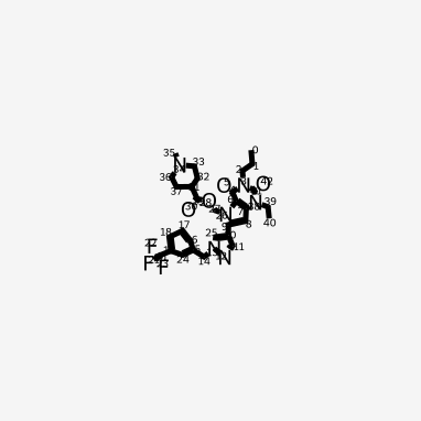 CCCn1c(=O)c2c(cc(-c3cnn(Cc4cccc(C(F)(F)F)c4)c3)n2COC(=O)C2CCN(C)CC2)n(CC)c1=O